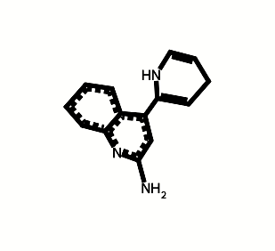 Nc1cc(C2=CCC=CN2)c2ccccc2n1